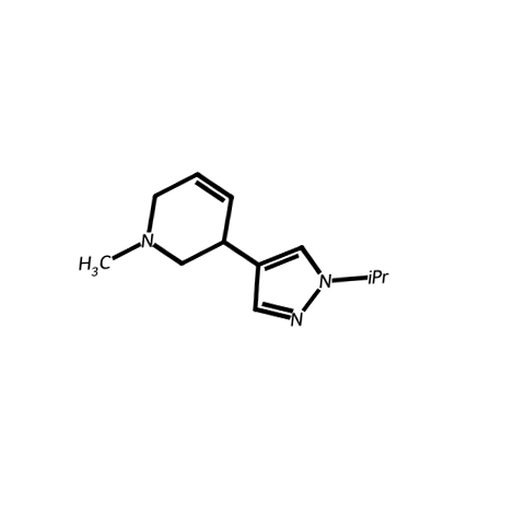 CC(C)n1cc(C2C=CCN(C)C2)cn1